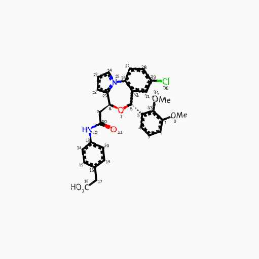 COc1cccc([C@@H]2O[C@@H](CC(=O)Nc3ccc(CC(=O)O)cc3)c3cccn3-c3ccc(Cl)cc32)c1OC